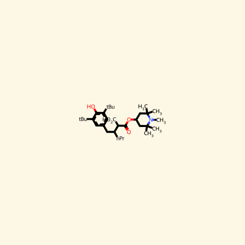 CCCC(Cc1cc(C(C)(C)C)c(O)c(C(C)(C)C)c1)C(C(=O)O)C(=O)OC1CC(C)(C)N(C)C(C)(C)C1